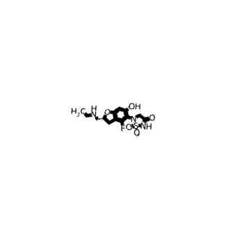 CCNC[C@H]1Cc2c(cc(O)c(N3CC(=O)NS3(=O)=O)c2F)O1